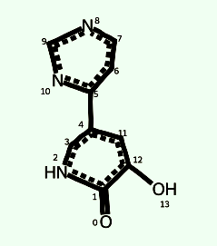 O=c1[nH]cc(-c2ccncn2)cc1O